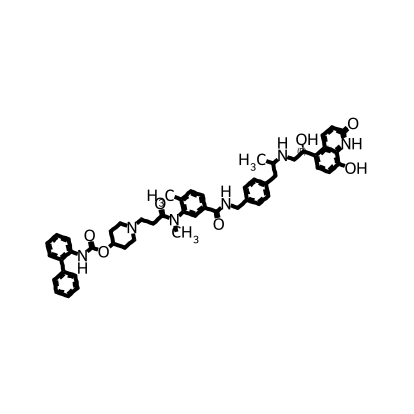 Cc1ccc(C(=O)NCc2ccc(CC(C)NC[C@H](O)c3ccc(O)c4[nH]c(=O)ccc34)cc2)cc1N(C)C(=O)CCN1CCC(OC(=O)Nc2ccccc2-c2ccccc2)CC1